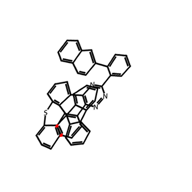 c1ccc(-c2nnc(-c3ccccc3-c3ccc4ccccc4c3)nc2-c2cccc3c2C2(c4ccccc4S3)c3ccccc3-c3ccccc32)cc1